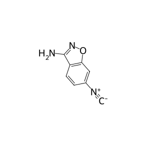 [C-]#[N+]c1ccc2c(N)noc2c1